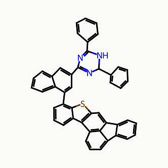 c1ccc(C2=NC(c3cc(-c4cccc5c4sc4cc6c7c(cccc7c45)-c4ccccc4-6)c4ccccc4c3)=NC(c3ccccc3)N2)cc1